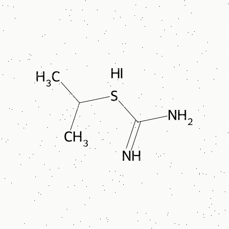 CC(C)SC(=N)N.I